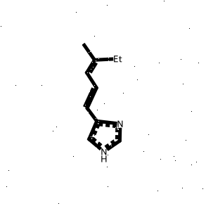 CC/C(C)=C\C=C\c1c[nH]cn1